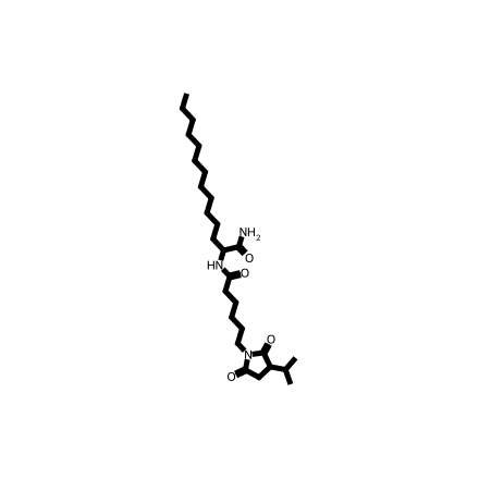 CCCCCCCCCCCCC(NC(=O)CCCCCN1C(=O)CC(C(C)C)C1=O)C(N)=O